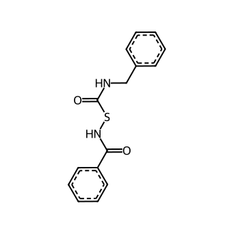 O=C(NCc1ccccc1)SNC(=O)c1ccccc1